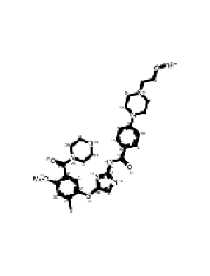 CCCOCCN1CCN(c2ccc(C(=O)Nc3ncc(Sc4cc(C(=O)N5CCOCC5)c(OC)cc4C)s3)cc2)CC1